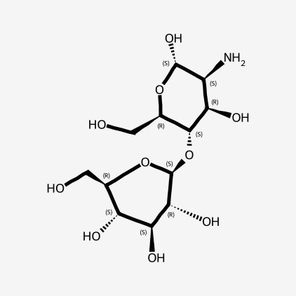 N[C@H]1[C@@H](O)[C@H](O[C@@H]2O[C@H](CO)[C@@H](O)[C@H](O)[C@H]2O)[C@@H](CO)O[C@@H]1O